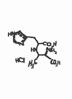 CC(NC(Cc1c[nH]cn1)C(=O)O)C(N)C(=O)O.Cl